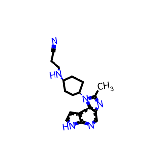 Cc1nc2cnc3[nH]ccc3c2n1[C@H]1CC[C@H](NCCC#N)CC1